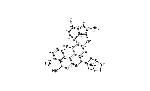 CC(Oc1nc(N2CC3CCC(C2)N3)c2cc(Cl)c(-c3ccc(F)c4sc(N)nc34)c(F)c2n1)c1cccnc1N